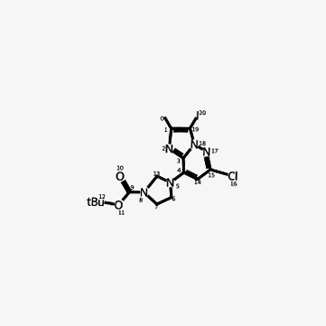 Cc1nc2c(N3CCN(C(=O)OC(C)(C)C)C3)cc(Cl)nn2c1I